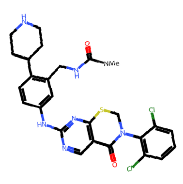 CNC(=O)NCc1cc(Nc2ncc3c(n2)SCN(c2c(Cl)cccc2Cl)C3=O)ccc1C1CCNCC1